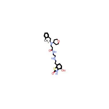 Cc1ccccc1CCN(CCC(=O)NCCNCCc1ccc(O)c2[nH]c(=O)sc12)C1CCOCC1